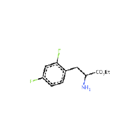 CCOC(=O)C(N)Cc1ccc(F)cc1F